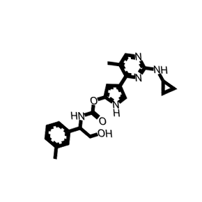 Cc1cccc(C(CO)NC(=O)Oc2cc(-c3nc(NC4CC4)ncc3C)c[nH]2)c1